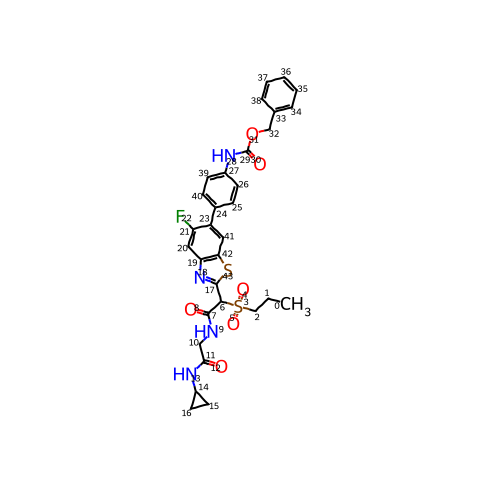 CCCS(=O)(=O)C(C(=O)NCC(=O)NC1CC1)c1nc2cc(F)c(-c3ccc(NC(=O)OCc4ccccc4)cc3)cc2s1